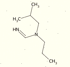 CCCN(C=N)CC(C)C